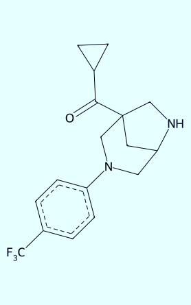 O=C(C1CC1)C12CNC(CN(c3ccc(C(F)(F)F)cc3)C1)C2